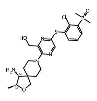 C[C@@H]1OCC2(CCN(c3ncc(Sc4cccc(P(C)(C)=O)c4Cl)nc3CO)CC2)[C@@H]1N